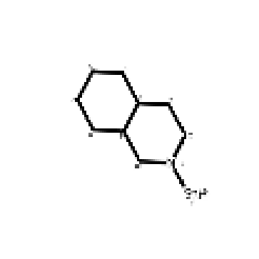 [SnH][N]1CCC2CCCCC2C1